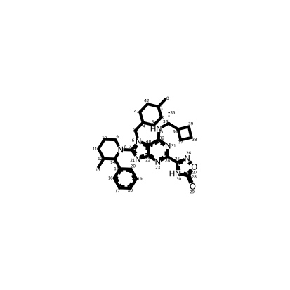 CC1CCC(Cn2c(N3CCCC(C)C3c3ccccc3)nc3nc(-c4noc(=O)[nH]4)nc(N[C@H](C)C4CCC4)c32)CC1